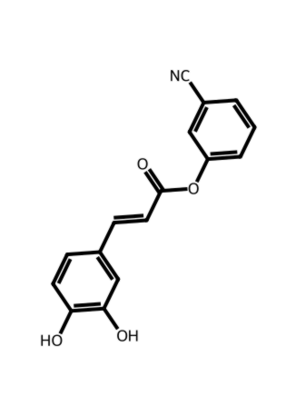 N#Cc1cccc(OC(=O)/C=C/c2ccc(O)c(O)c2)c1